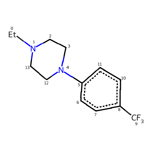 CCN1CCN(c2ccc(C(F)(F)F)cc2)CC1